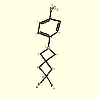 O=[N+]([O-])c1ccc(N2CC3(C2)CC(F)(F)C3)cc1